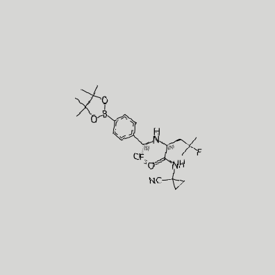 CC(C)(F)C[C@H](N[C@@H](c1ccc(B2OC(C)(C)C(C)(C)O2)cc1)C(F)(F)F)C(=O)NC1(C#N)CC1